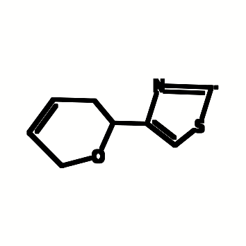 [c]1nc(C2CC=CCO2)cs1